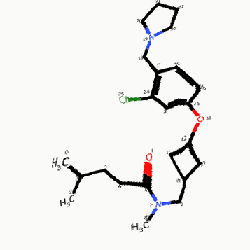 CC(C)CCC(=O)N(C)CC1CC(Oc2ccc(CN3CCCC3)c(Cl)c2)C1